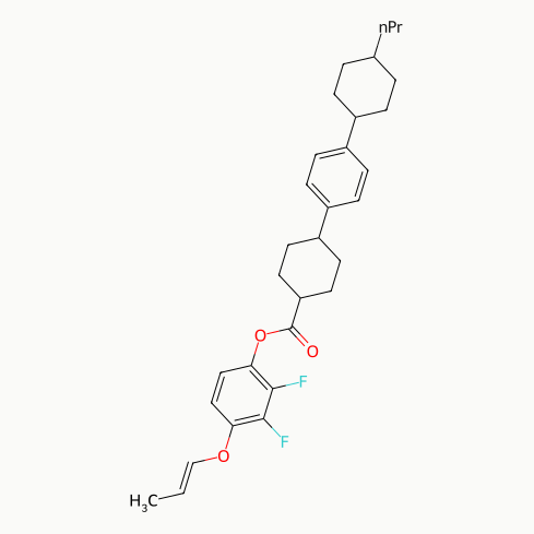 C/C=C/Oc1ccc(OC(=O)C2CCC(c3ccc(C4CCC(CCC)CC4)cc3)CC2)c(F)c1F